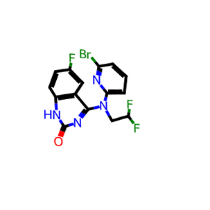 O=c1nc(N(CC(F)F)c2cccc(Br)n2)c2cc(F)ccc2[nH]1